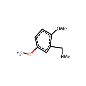 CNCc1cc(OC(F)(F)F)ccc1OC